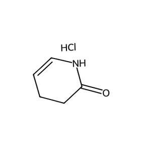 Cl.O=C1CCC=CN1